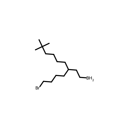 BCCC(CCCCBr)CCCCC(C)(C)C